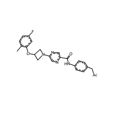 CC(=O)Cc1ccc(NC(=O)c2cnc(N3CC(Oc4cc(F)ccc4C)C3)cn2)cc1